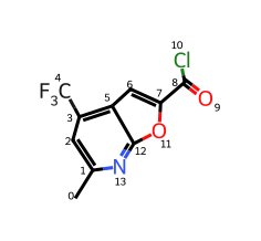 Cc1cc(C(F)(F)F)c2cc(C(=O)Cl)oc2n1